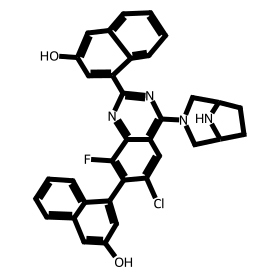 Oc1cc(-c2nc(N3CC4CCC(C3)N4)c3cc(Cl)c(-c4cc(O)cc5ccccc45)c(F)c3n2)c2ccccc2c1